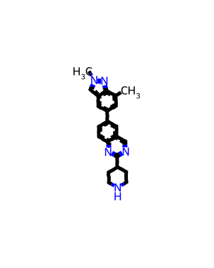 Cc1cc(-c2ccc3nc(C4CCNCC4)ncc3c2)cc2cn(C)nc12